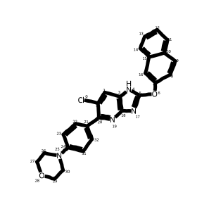 Clc1cc2[nH]c(Oc3ccc4ccccc4c3)nc2nc1-c1ccc(N2CCOCC2)cc1